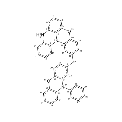 Nc1cccc2c1N(c1ccccc1)c1cc(Cc3ccc4c(c3)N(c3ccccc3)c3ccccc3O4)ccc1O2